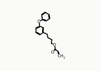 C=CC(=O)OCCCCc1cccc(Oc2ccccc2)c1